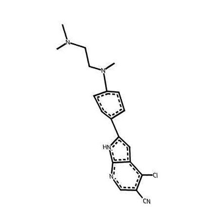 CN(C)CCN(C)c1ccc(-c2cc3c(Cl)c(C#N)cnc3[nH]2)cc1